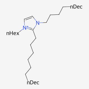 CCCCCCCCCCCCCCCCc1n(CCCCCCCCCCCCCC)cc[n+]1CCCCCC